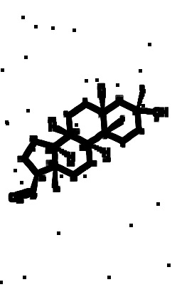 C[C@]1(O)CC[C@@]2(C)[C@@H](CC[C@@H]3[C@@H]2CC[C@]2(C)[C@@H](C=O)CC[C@@H]32)C1